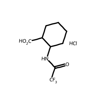 Cl.O=C(O)C1CCCCC1NC(=O)C(F)(F)F